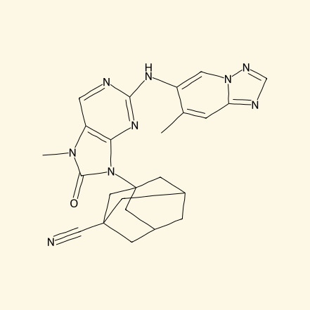 Cc1cc2ncnn2cc1Nc1ncc2c(n1)n(C13CC4CC(CC(C#N)(C4)C1)C3)c(=O)n2C